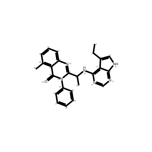 CCc1c[nH]c2ncnc(NC(C)c3nc4cccc(C)c4c(=O)n3-c3ccccc3)c12